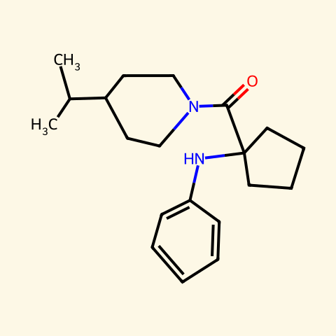 CC(C)C1CCN(C(=O)C2(Nc3ccccc3)CCCC2)CC1